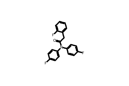 O=C(Cc1ccccc1F)N(c1ccc(F)cc1)c1ccc(F)cc1